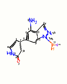 Nc1cc(-c2cc[nH]c(=O)c2)cc2c1cnn2PI